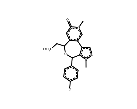 CCOC(=O)CC1OC(c2ccc(Cl)cc2)c2c(cnn2C)-c2cn(C)c(=O)cc21